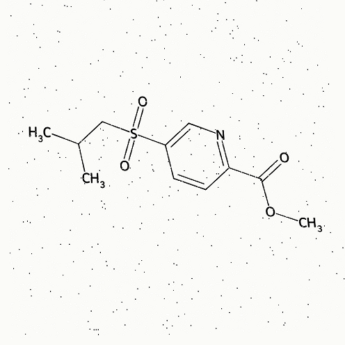 COC(=O)c1ccc(S(=O)(=O)CC(C)C)cn1